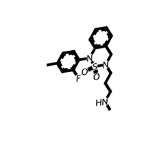 CNCCCN1Cc2ccccc2N(c2ccc(C)cc2F)S1(=O)=O